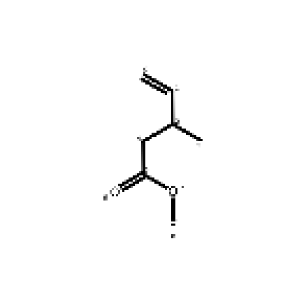 C=CC(C)CC(=O)OF